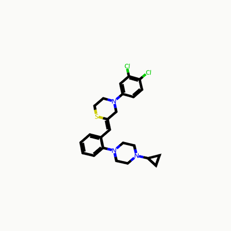 Clc1ccc(N2CCSC(=Cc3ccccc3N3CCN(C4CC4)CC3)C2)cc1Cl